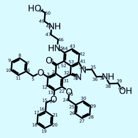 O=C1c2c(OCc3ccccc3)cc(OCc3ccccc3)c(OCc3ccccc3)c2-c2nn(CCNCCO)c3ccc(NCCNCCO)c1c23